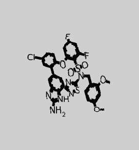 COc1ccc(CN(c2ncns2)S(=O)(=O)c2c(F)cc(F)cc2Oc2ccc(Cl)cc2-c2ccc3[nH]c(N)nc3c2)c(OC)c1